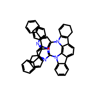 C1=CCCC(c2cc(-n3c4c(c5ccc6c7ccccc7n(-c7nc(-c8ccccc8)cc(-c8ccccc8)n7)c6c53)CCC=C4)cc(-c3ccccc3)n2)=C1